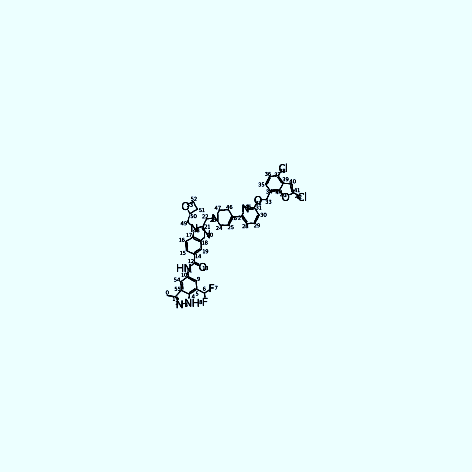 Cc1n[nH]c2c(C(F)F)cc(NC(=O)c3ccc4c(c3)nc(CN3CC=C(c5cccc(OCc6ccc(Cl)c7cc(Cl)oc67)n5)CC3)n4C[C@@H]3CCO3)cc12